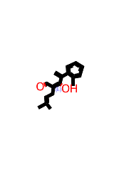 C=C(/C(O)=C(\C=O)CC=C(C)C)c1ccccc1C